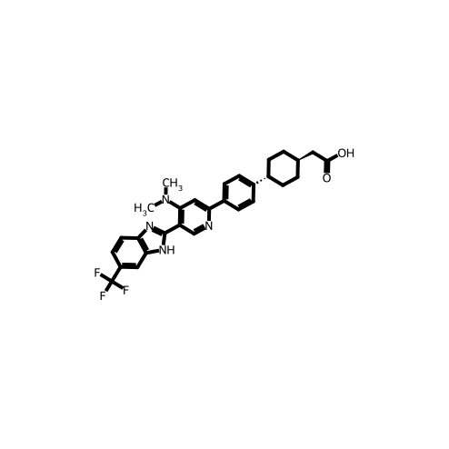 CN(C)c1cc(-c2ccc([C@H]3CC[C@H](CC(=O)O)CC3)cc2)ncc1-c1nc2ccc(C(F)(F)F)cc2[nH]1